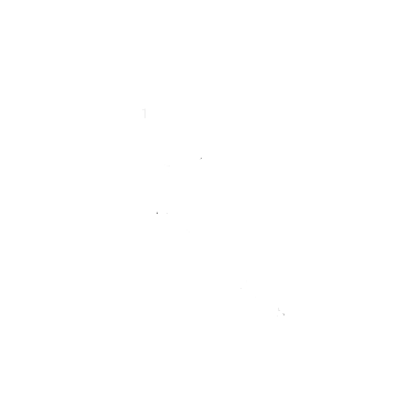 N#Cc1ccc(OC(=O)CCl)cc1